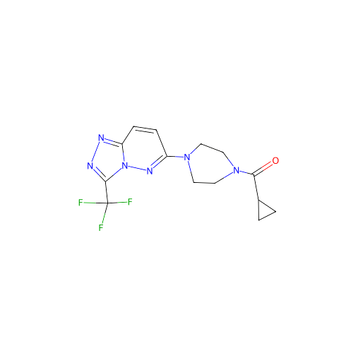 O=C(C1CC1)N1CCN(c2ccc3nnc(C(F)(F)F)n3n2)CC1